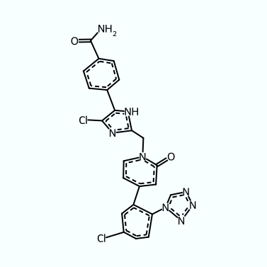 NC(=O)c1ccc(-c2[nH]c(Cn3ccc(-c4cc(Cl)ccc4-n4cnnn4)cc3=O)nc2Cl)cc1